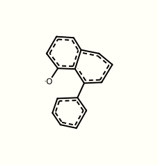 [O]c1cccc2cccc(-c3ccccc3)c12